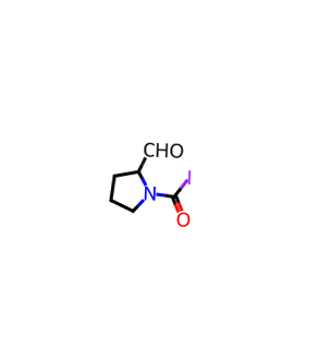 O=CC1CCCN1C(=O)I